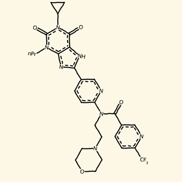 CCCn1c(=O)n(C2CC2)c(=O)c2[nH]c(-c3ccc(N(CCN4CCOCC4)C(=O)c4ccc(C(F)(F)F)nc4)nc3)nc21